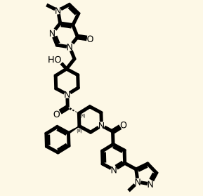 Cn1nccc1-c1cc(C(=O)N2CC[C@@H](C(=O)N3CCC(O)(Cn4cnc5c(ccn5C)c4=O)CC3)[C@H](c3ccccc3)C2)ccn1